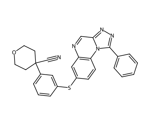 N#CC1(c2cccc(Sc3ccc4c(c3)ncc3nnc(-c5ccccc5)n34)c2)CCOCC1